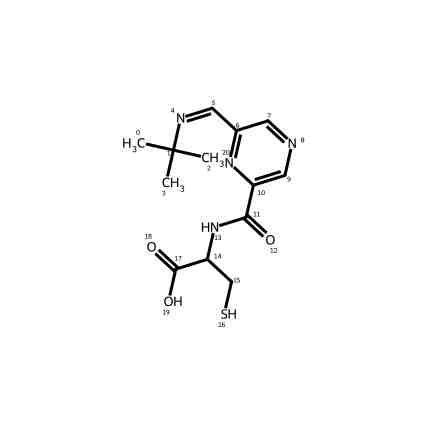 CC(C)(C)/N=C\c1cncc(C(=O)NC(CS)C(=O)O)n1